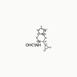 O=CNN1Cc2ccnn2CC1C1CC1